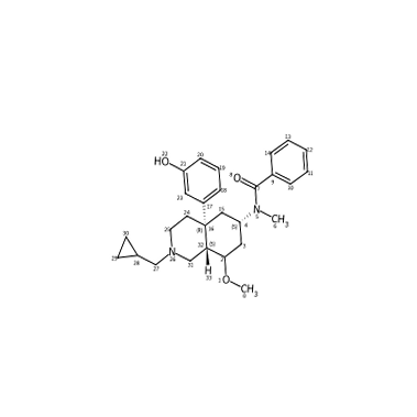 COC1C[C@@H](N(C)C(=O)c2ccccc2)C[C@]2(c3cccc(O)c3)CCN(CC3CC3)C[C@@H]12